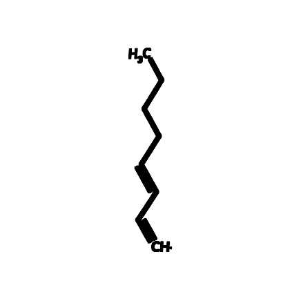 [CH]=CC=CCCCC